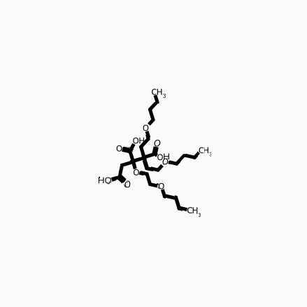 CCCCOCCOC(CC(=O)O)(C(=O)O)C(CCOCCCC)(CCOCCCC)C(=O)O